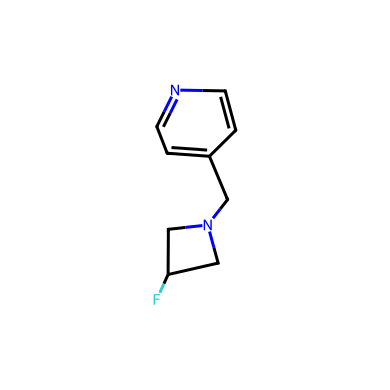 FC1CN(Cc2ccncc2)C1